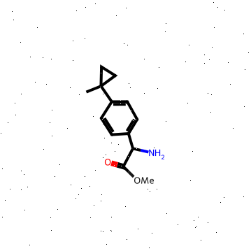 COC(=O)C(N)c1ccc(C2(C)CC2)cc1